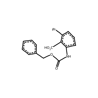 CC(C)c1cccc(NC(=O)OCc2ccccc2)c1C(=O)O